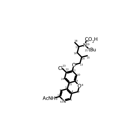 CC(=O)Nc1cc2c(cn1)COc1cc(OCC(C)CC(C)N(C(=O)O)C(C)(C)C)c(Cl)cc1-2